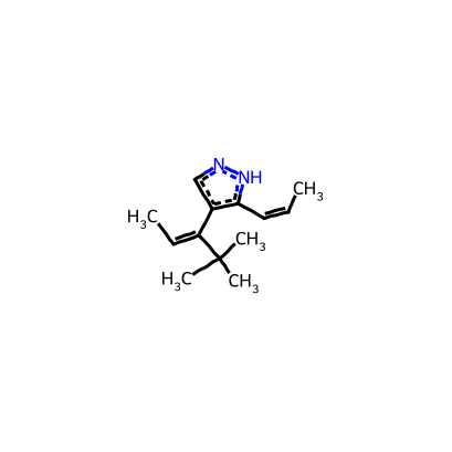 C/C=C\c1[nH]ncc1/C(=C\C)C(C)(C)C